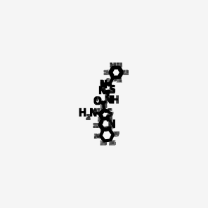 Nc1c(C(=O)Nc2nnc(-c3ccccc3)s2)sc2nc3c(cc12)CCCC3